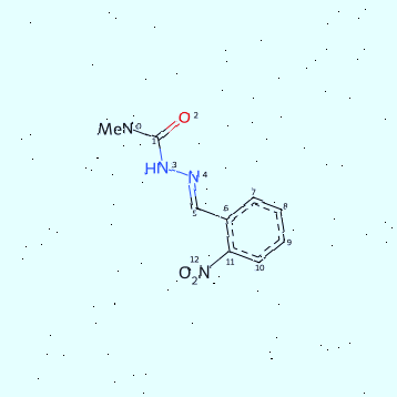 CNC(=O)N/N=C/c1ccccc1[N+](=O)[O-]